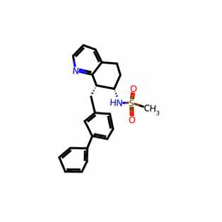 CS(=O)(=O)N[C@H]1CCc2cccnc2[C@H]1Cc1cccc(-c2ccccc2)c1